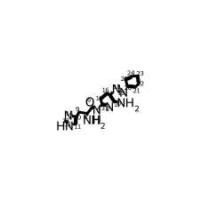 Nc1nc(NC(=O)[C@@H](N)Cc2c[nH]cn2)ccc1N=Nc1ccccc1